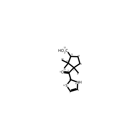 CC1(C(=O)C2NC=CS2)CCC(C(=O)O)C1(C)C